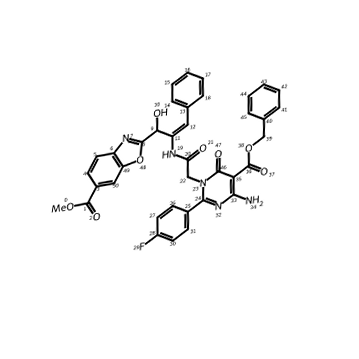 COC(=O)c1ccc2nc(C(O)C(=Cc3ccccc3)NC(=O)Cn3c(-c4ccc(F)cc4)nc(N)c(C(=O)OCc4ccccc4)c3=O)oc2c1